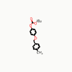 Cc1ccc(COc2ccc(OC(=O)OC(C)(C)C)cc2)cc1